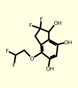 Oc1cc(O)c2c(c1OCC(F)F)CC(F)(F)C2O